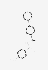 COc1ccc([C@@H](C)NC(=O)c2ccc(-c3ccncc3)cc2)cc1